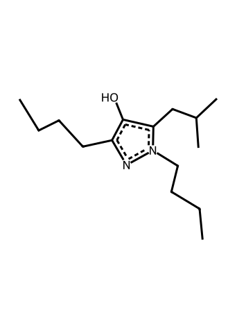 CCCCc1nn(CCCC)c(CC(C)C)c1O